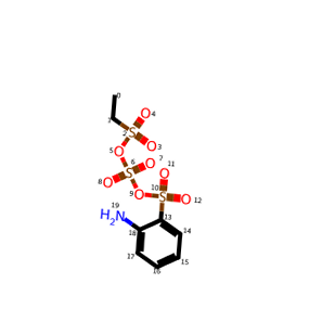 CCS(=O)(=O)OS(=O)(=O)OS(=O)(=O)c1ccccc1N